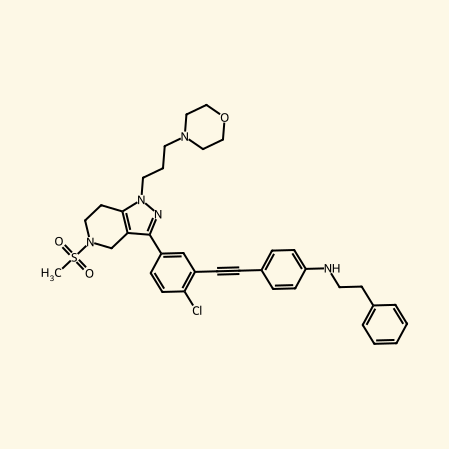 CS(=O)(=O)N1CCc2c(c(-c3ccc(Cl)c(C#Cc4ccc(NCCc5ccccc5)cc4)c3)nn2CCCN2CCOCC2)C1